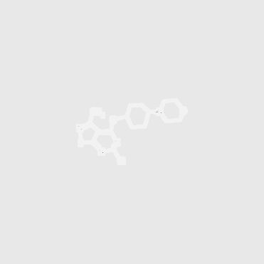 Cc1nsc2nc(Cl)nc(O[C@H]3CC[C@H](N4CCOCC4)CC3)c12